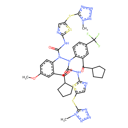 COc1ccc(N(C(=O)Nc2ncc(Sc3nnnn3C)s2)N(C(=O)Nc2ncc(Sc3nnnn3C)s2)c2ccc(C(F)(F)F)cc2C(=O)C2CCCC2)c(C(=O)C2CCCC2)c1